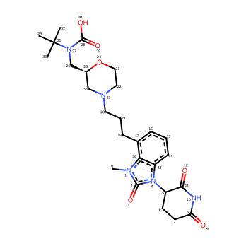 Cn1c(=O)n(C2CCC(=O)NC2=O)c2cccc(CCCN3CCO[C@H](CN(C(=O)O)C(C)(C)C)C3)c21